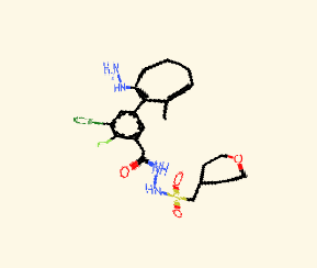 CC1=CCCCC(NN)=C1c1cc(Cl)c(F)c(C(=O)NNS(=O)(=O)CC2CCOCC2)c1